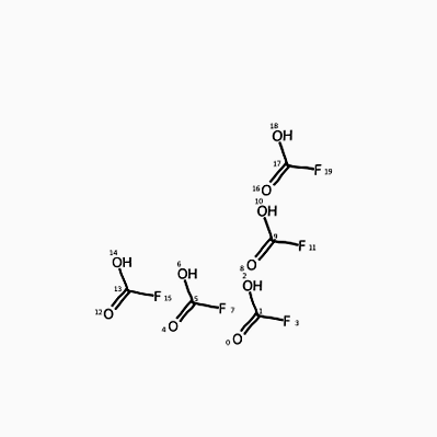 O=C(O)F.O=C(O)F.O=C(O)F.O=C(O)F.O=C(O)F